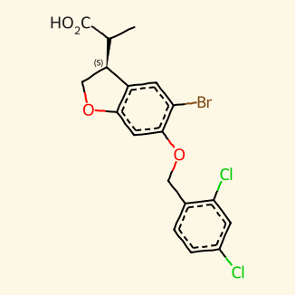 CC(C(=O)O)[C@@H]1COc2cc(OCc3ccc(Cl)cc3Cl)c(Br)cc21